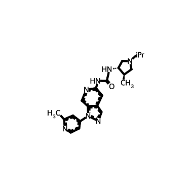 Cc1cc(-n2ncc3cc(NC(=O)N[C@@H]4CN(C(C)C)C[C@H]4C)ncc32)ccn1